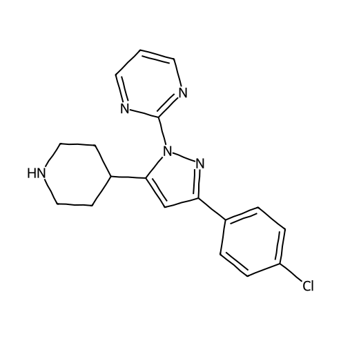 Clc1ccc(-c2cc(C3CCNCC3)n(-c3ncccn3)n2)cc1